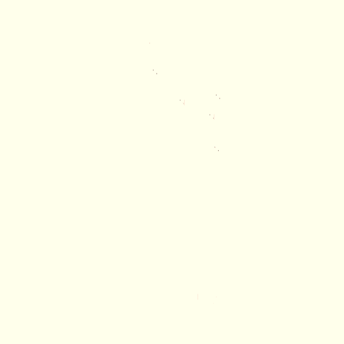 Cc1nn2c(N3CCN(C(=O)OCc4ccccc4)CC3)cc(-c3cccc(CCOCCC(=O)O)c3)nc2c1-c1ccccc1